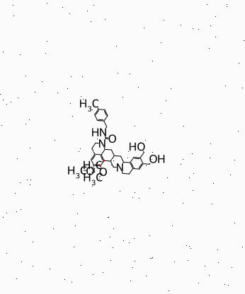 CCC1CN2CCc3cc(CO)c(CO)cc3C2CC1CC1c2cc(OC)c(OC)cc2CCN1C(=O)NCc1ccc(C)cc1